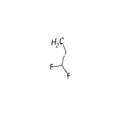 [CH2]CC(F)F